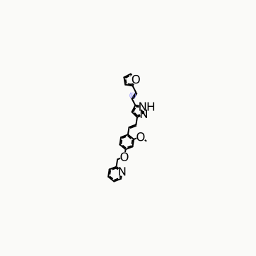 COc1cc(OCc2ccccn2)ccc1C=Cc1cc(/C=C/c2ccco2)[nH]n1